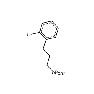 [Li][c]1ccccc1CCCCCCCC